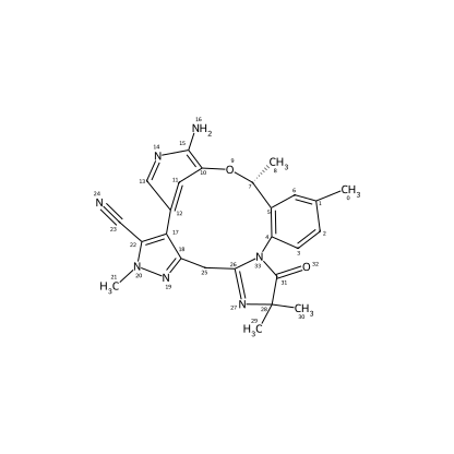 Cc1ccc2c(c1)[C@@H](C)Oc1cc(cnc1N)-c1c(nn(C)c1C#N)CC1=NC(C)(C)C(=O)N12